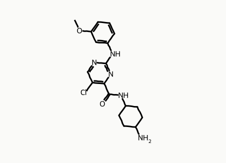 COc1cccc(Nc2ncc(Cl)c(C(=O)NC3CCC(N)CC3)n2)c1